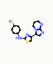 Brc1ccc(Nc2nc(-c3cnc4ncccn34)cs2)cc1